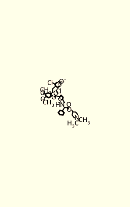 COc1ccc(C(Cc2c(Cl)c[n+]([O-])cc2Cl)OC(=O)c2ccc(CNC(C(=O)OCC3CCN(C(C)C)CC3)c3ccccc3)s2)cc1OC